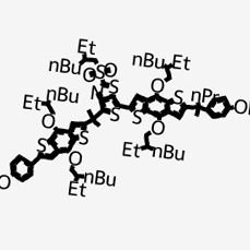 CCCCC(CC)COc1c2cc(C(C)(C)c3sc(-c4cc5c(OCC(CC)CCCC)c6sc(C(C)(CCC)c7ccc(O)cc7)cc6c(OCC(CC)CCCC)c5s4)c4sc(S(=O)(=O)CC(CC)CCCC)nc34)sc2c(OCC(CC)CCCC)c2cc(-c3ccc(O)cc3)sc12